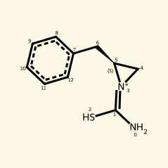 NC(S)=[N+]1C[C@@H]1Cc1ccccc1